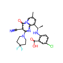 Cc1cc([C@@H](C)Nc2ccc(Cl)cc2C(=O)O)c2nc(N3CCC(F)(F)CC3)c(C#N)c(=O)n2c1